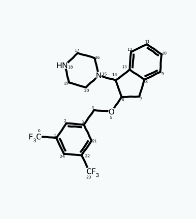 FC(F)(F)c1cc(COC2Cc3ccccc3C2N2CCNCC2)cc(C(F)(F)F)c1